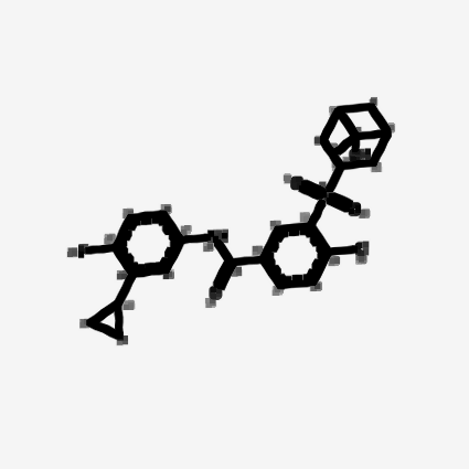 CC1(O)C2CC1CC(S(=O)(=O)c1cc(C(=O)Nc3ccc(F)c(C4CC4)c3)ccc1Cl)C2